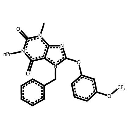 CCCn1c(=O)c2c(nc(Oc3cccc(OC(F)(F)F)c3)n2Cc2ccccc2)n(C)c1=O